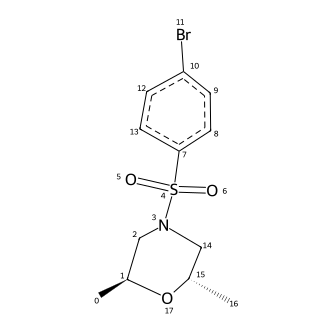 C[C@H]1CN(S(=O)(=O)c2ccc(Br)cc2)C[C@H](C)O1